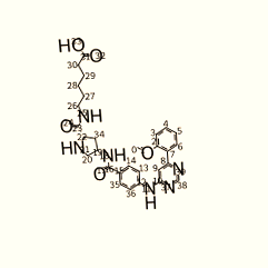 COc1ccccc1-c1cc(Nc2ccc(C(=O)N[C@@H]3CN[C@H](C(=O)NCCCCCC(=O)O)C3)cc2)ncn1